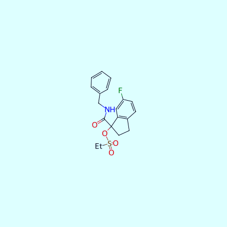 CCS(=O)(=O)OC1(C(=O)NCc2ccccc2)CCc2ccc(F)cc21